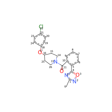 Cc1noc(-c2ccccc2C(=O)N2CCC(Oc3ccc(Cl)cc3)CC2)n1